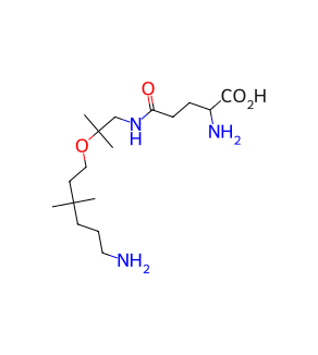 CC(C)(CCCN)CCOC(C)(C)CNC(=O)CCC(N)C(=O)O